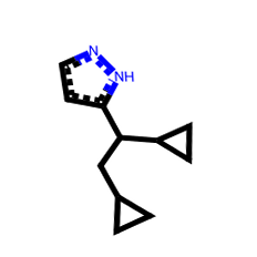 c1cc([C](CC2CC2)C2CC2)[nH]n1